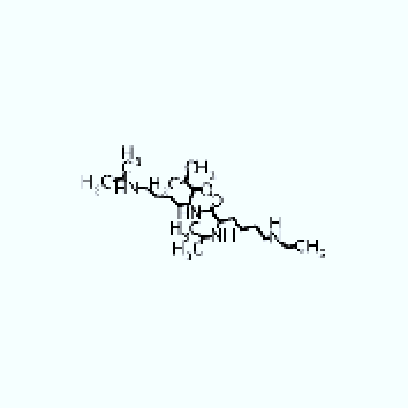 CCNCCCCC(NC(C)C)C(=O)NC(CCCCNC(C)C)C(=O)C(C)C